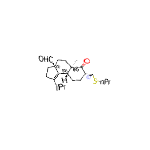 CCCS/C=C1\CC[C@@H]2C3=C(C(C)C)CC[C@]3(C=O)CC[C@@]2(C)C1=O